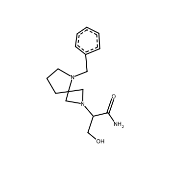 NC(=O)C(CO)N1CC2(CCCN2Cc2ccccc2)C1